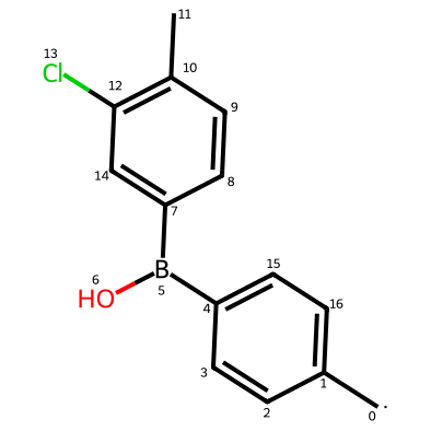 [CH2]c1ccc(B(O)c2ccc(C)c(Cl)c2)cc1